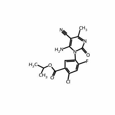 Cc1nc(=O)n(-c2cc(C(=O)OC(C)C)c(Cl)cc2F)c(N)c1C#N